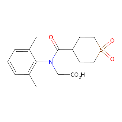 Cc1cccc(C)c1N(CC(=O)O)C(=O)C1CCS(=O)(=O)CC1